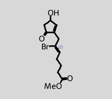 COC(=O)CCC/C=C(\Br)CC1=CC(O)CC1=O